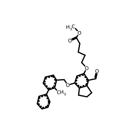 COC(=O)CCCCOc1cc(OCc2cccc(-c3ccccc3)c2C)c2c(c1C=O)CCC2